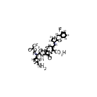 Nc1nc(/C(=N/OC(=O)C(F)(F)F)C(=O)N[C@@H]2C(=O)N3C(C(=O)O)=C(/C=C4\CCN(Cc5ccccc5F)C4=O)CS[C@H]23)cs1